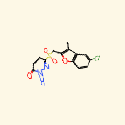 Cc1c(CS(=O)(=O)c2ccc(=O)[nH]n2)oc2ccc(Cl)cc12